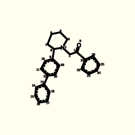 O=C(CN1CCCCC1c1ccc(-c2ccccc2)cc1)c1ccccc1